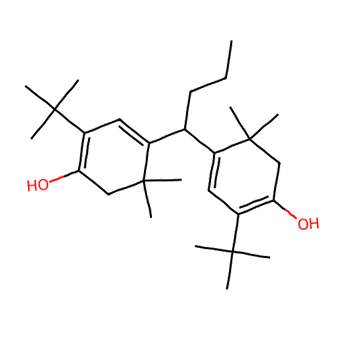 CCCC(C1=CC(C(C)(C)C)=C(O)CC1(C)C)C1=CC(C(C)(C)C)=C(O)CC1(C)C